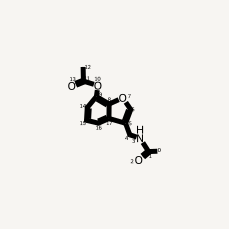 CC(=O)NCc1coc2c(OC(C)=O)cccc12